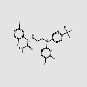 CNC(=O)[C@@H](NCC[C@@H](c1ccc(C(F)(F)F)nc1)c1ccc(F)c(C)c1)c1cc(F)ccc1F